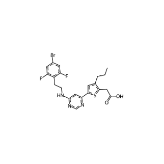 CCCc1cc(-c2cc(NCCc3c(F)cc(Br)cc3F)ncn2)sc1CC(=O)O